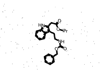 CC(C)OC(=O)Cc1[nH]c2ccccc2c1CCNC(=O)OCc1ccccc1